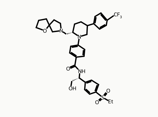 CCS(=O)(=O)c1ccc([C@H](CO)NC(=O)c2ccc(N3CC(c4ccc(C(F)(F)F)cc4)CC[C@H]3CN3CCC4(CCCO4)C3)cc2)cc1